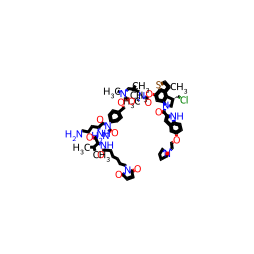 Cc1csc2c(OC(=O)N(C)CC(C)(C)CN(C)C(=O)OCc3ccc(N(C(N)=O)C(=O)C(CCCN)NC(=O)C(NC(=O)CCCCCN4C(=O)C=CC4=O)C(C)C)cc3)cc3c(c12)[C@H](CCl)CN3C(=O)c1cc2cc(OCCN3CCCC3)ccc2[nH]1